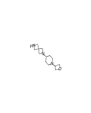 C1CN(C2COC2)CCC1N1CC2(CNC2)C1